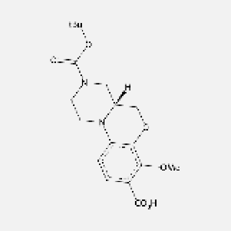 COc1c(C(=O)O)ccc2c1OC[C@H]1CN(C(=O)OC(C)(C)C)CCN21